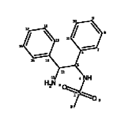 CS(=O)(=O)NC(c1ccccc1)C(N)c1ccccc1